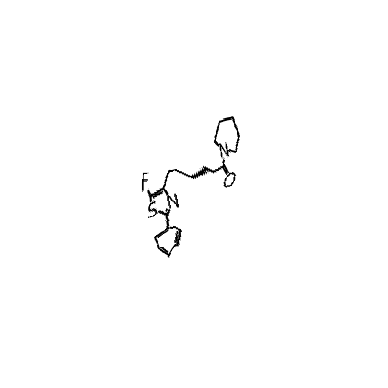 O=C(CCCc1nc(-c2ccccc2)sc1F)N1CCCCC1